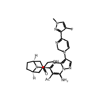 CC(=O)c1c([C@H]2C[C@H]3CC[C@@H](C2)N3C(=O)CO)nc2c(N3C=CC(c4nn(C)cc4F)=NC3)cnn2c1N